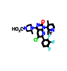 Cc1ccnc(C(C)C)c1-n1c(=O)nc(N2CCN(C(=O)O)CC2C)c2cc(Cl)c(-c3ccc(F)c(F)c3F)nc21